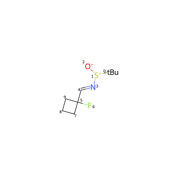 CC(C)(C)[S+]([O-])N=CC1(F)CCC1